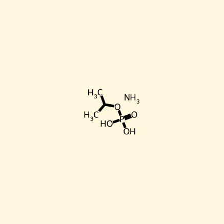 CC(C)OP(=O)(O)O.N